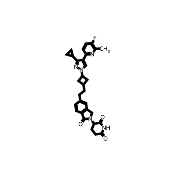 Cc1nc(-c2cn(C3CC(CCc4ccc5c(c4)CN(C4CCC(=O)NC4=O)C5=O)C3)nc2C2CC2)ccc1F